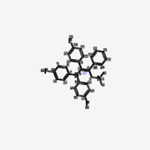 CN(C)C/C(=C(\B(c1ccc(F)cc1)c1ccc(F)cc1)c1ccc(F)cc1)c1ccccc1